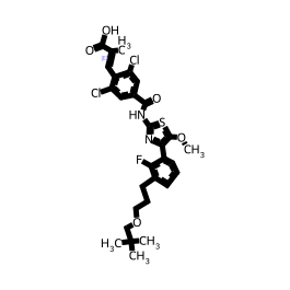 COc1sc(NC(=O)c2cc(Cl)c(/C=C(\C)C(=O)O)c(Cl)c2)nc1-c1cccc(CCCOCC(C)(C)C)c1F